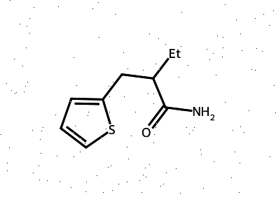 CCC(Cc1cccs1)C(N)=O